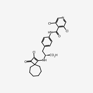 O=C(Nc1ccc(C[C@H](NC2=C(Cl)C(=O)C23CCCCCC3)C(=O)O)cc1)c1c(Cl)cncc1Cl